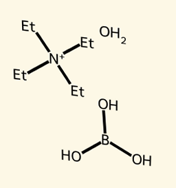 CC[N+](CC)(CC)CC.O.OB(O)O